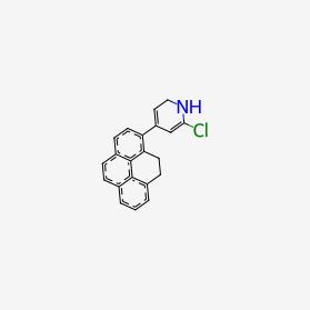 ClC1=CC(c2ccc3ccc4cccc5c4c3c2CC5)=CCN1